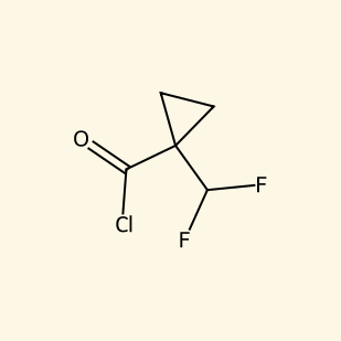 O=C(Cl)C1(C(F)F)CC1